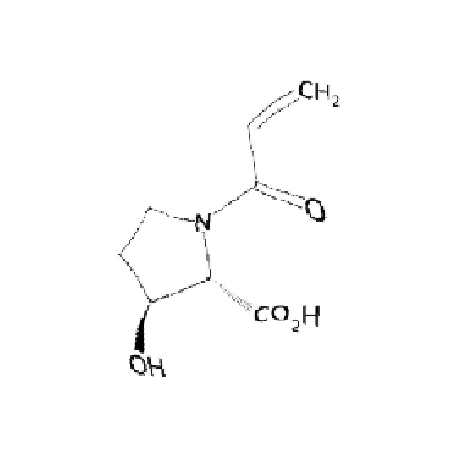 C=CC(=O)N1CC[C@H](O)[C@H]1C(=O)O